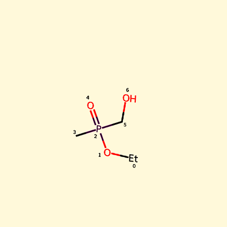 CCOP(C)(=O)CO